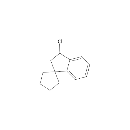 ClC1CC2(CCCC2)c2ccccc21